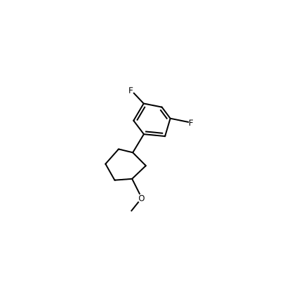 COC1CCCC(c2cc(F)cc(F)c2)C1